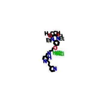 CCN1C(=O)C(C)(C)C(=O)N(CC)c2cc(OCCCNCc3ccnc(CCc4cccnc4)c3)ccc21.Cl.Cl.Cl